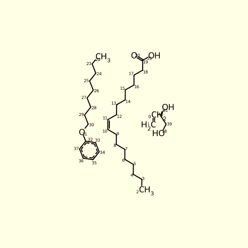 C=C.CCCCCCCC/C=C\CCCCCCCC(=O)O.CCCCCCCCCOc1ccccc1.OCCO